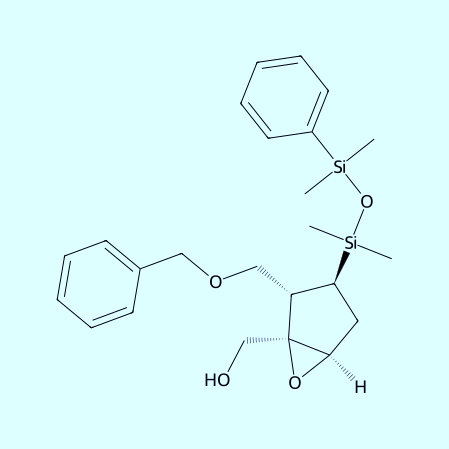 C[Si](C)(O[Si](C)(C)[C@H]1C[C@H]2O[C@@]2(CO)[C@@H]1COCc1ccccc1)c1ccccc1